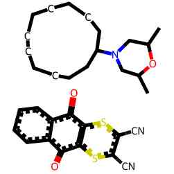 CC1CN(C2CCCCCCCCCCC2)CC(C)O1.N#Cc1sc2c(=O)c3ccccc3c(=O)c=2sc1C#N